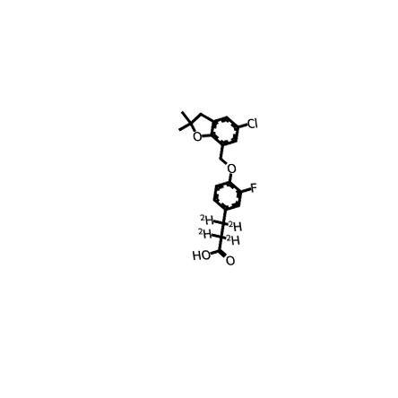 [2H]C([2H])(C(=O)O)C([2H])([2H])c1ccc(OCc2cc(Cl)cc3c2OC(C)(C)C3)c(F)c1